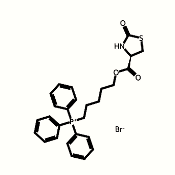 O=C1N[C@H](C(=O)OCCCCC[P+](c2ccccc2)(c2ccccc2)c2ccccc2)CS1.[Br-]